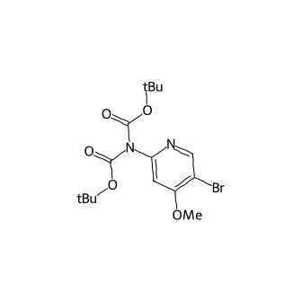 COc1cc(N(C(=O)OC(C)(C)C)C(=O)OC(C)(C)C)ncc1Br